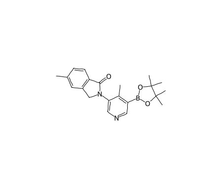 Cc1ccc2c(c1)CN(c1cncc(B3OC(C)(C)C(C)(C)O3)c1C)C2=O